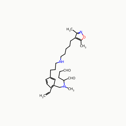 C=Cc1ccc(CCCNCCCCCc2c(C)noc2C)cc1CN(C)C(C=O)CCC=O